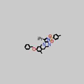 Cc1ccc(S(=O)(=O)n2cc(C(C)C)c3nc(Cc4c(C)cc(OCc5ccccc5)cc4C)cnc32)cc1